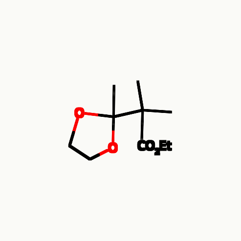 CCOC(=O)C(C)(C)C1(C)OCCO1